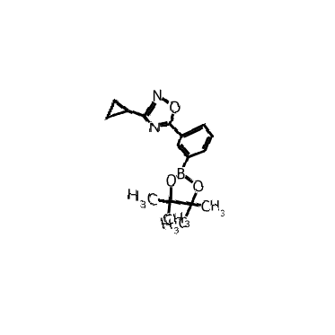 CC1(C)OB(c2cccc(-c3nc(C4CC4)no3)c2)OC1(C)C